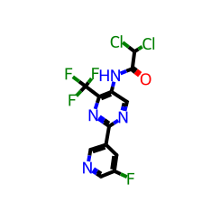 O=C(Nc1cnc(-c2cncc(F)c2)nc1C(F)(F)F)C(Cl)Cl